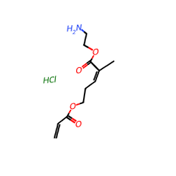 C=CC(=O)OCCC=C(C)C(=O)OCCN.Cl